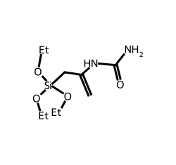 C=C(C[Si](OCC)(OCC)OCC)NC(N)=O